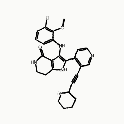 COc1c(Cl)cccc1Nc1c(-c2ccncc2C#CC2CCCCN2)[nH]c2c1C(=O)NCC2